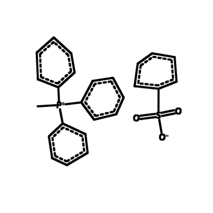 C[P+](c1ccccc1)(c1ccccc1)c1ccccc1.O=S(=O)([O-])c1ccccc1